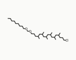 CCCCCCCCCOCOCCCC(C)CC(C)CC(C)CC(C)CC(C)CC(C)CCCCl